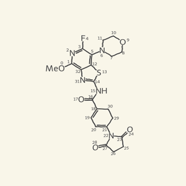 COc1nc(F)c(N2CCOCC2)c2sc(NC(=O)C3=CC=C(N4C(=O)CCC4=O)CC3)nc12